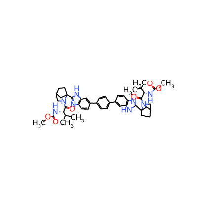 COC(=O)N[C@H](C(=O)N1CC2CCC1(c1nc3ccc(-c4ccc(-c5ccc6nc(C78CCC(CN7C(=O)[C@@H](NC(=O)OC)C(C)C)C8)[nH]c6c5)cc4)cc3[nH]1)C2)C(C)C